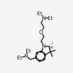 CCN(CC)CCOCCN1c2cc(CN(CC)CC)ccc2C(C)(C)[C@H]1C